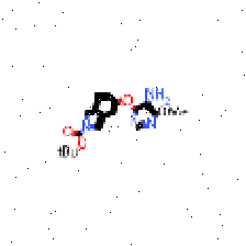 COc1ncnc(Oc2ccc3cn(C(=O)OC(C)(C)C)cc3c2)c1N